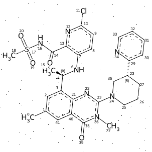 Cc1cc([C@@H](C)Nc2ccc(Cl)nc2C(=O)NS(C)(=O)=O)c2nc(N3CCC[C@@H](c4ccccn4)C3)n(C)c(=O)c2c1